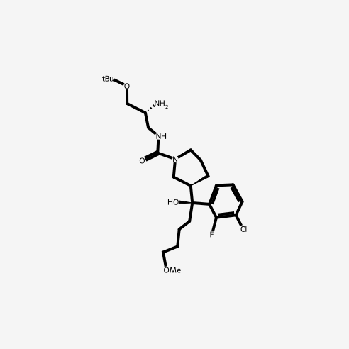 COCCCC[C@@](O)(c1cccc(Cl)c1F)[C@@H]1CCCN(C(=O)NC[C@@H](N)COC(C)(C)C)C1